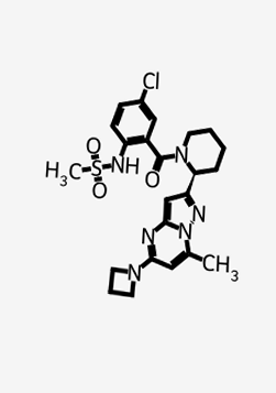 Cc1cc(N2CCC2)nc2cc([C@@H]3CCCCN3C(=O)c3cc(Cl)ccc3NS(C)(=O)=O)nn12